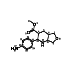 COC(=O)C1CC2COCC2NC1c1ccc(N)cc1